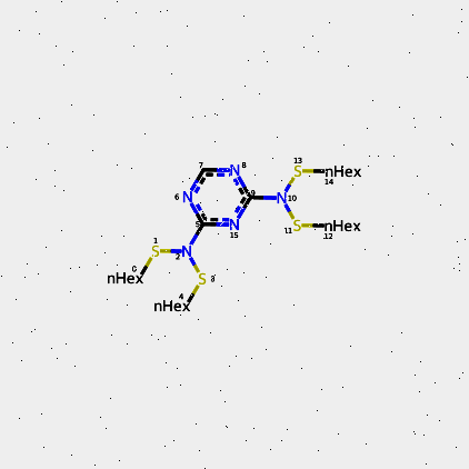 CCCCCCSN(SCCCCCC)c1ncnc(N(SCCCCCC)SCCCCCC)n1